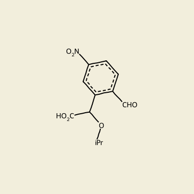 CC(C)OC(C(=O)O)c1cc([N+](=O)[O-])ccc1C=O